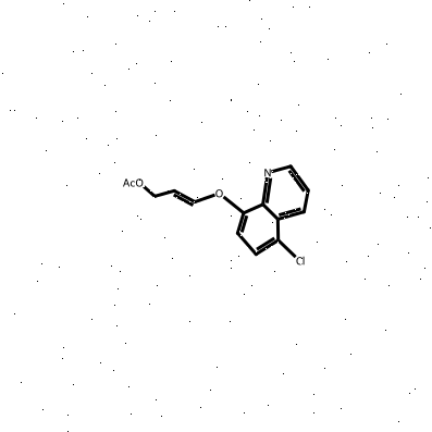 CC(=O)OCC=COc1ccc(Cl)c2cccnc12